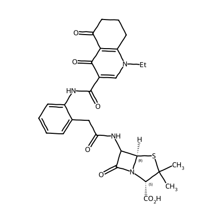 CCn1cc(C(=O)Nc2ccccc2CC(=O)NC2C(=O)N3[C@@H]2SC(C)(C)[C@@H]3C(=O)O)c(=O)c2c1CCCC2=O